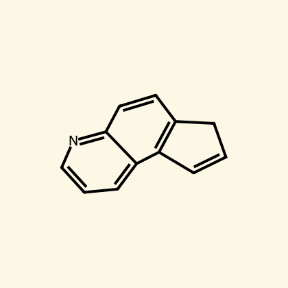 C1=Cc2c(ccc3ncccc23)C1